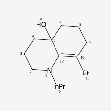 CCCN1CCCC2(O)CCCC(CC)=C12